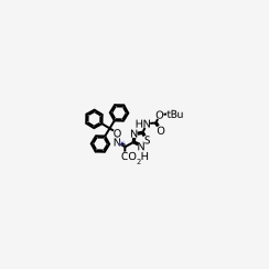 CC(C)(C)OC(=O)Nc1nc(/C(=N\OC(c2ccccc2)(c2ccccc2)c2ccccc2)C(=O)O)ns1